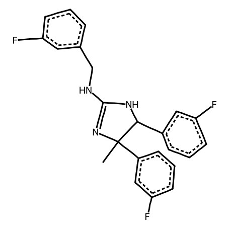 CC1(c2cccc(F)c2)N=C(NCc2cccc(F)c2)NC1c1cccc(F)c1